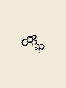 O=S1(=O)CCCN1C1CC23CCCCC2=CN2C=CCCC2=C3O1